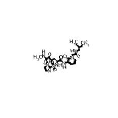 CCC(CC)CNC(=O)Cn1cccc(NC(=O)[C@H](CCC(=O)C(=O)NC)NS(=O)(=O)c2nccn2C)c1=O